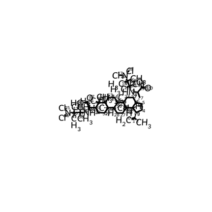 C=C(C)[C@@H]1CC[C@]2(CC(NC(C)(C)C(C)(C)N(Cl)Cl)C(=O)O)CC[C@]3(C)[C@H](CC[C@@H]4[C@@]5(C)CCC(C(NC(C)(C)C(C)(C)N(Cl)Cl)C(=O)O)C(C)(C)[C@@H]5CC[C@]43C)[C@@H]12